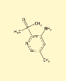 Cc1cnc(P(C)(C)=O)c(N)c1